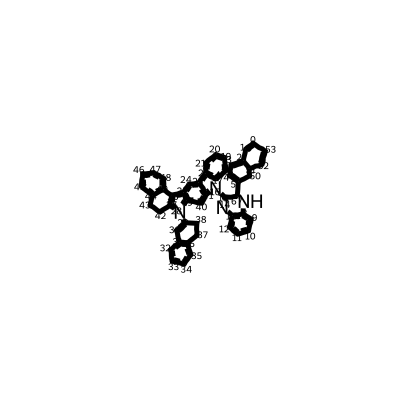 C1=CC2=CC=C(C3Nc4ccccc4N=C3n3c4ccccc4c4cc5c6c(n(C7=Cc8ccccc8CC7)c5cc43)CCc3ccccc3-6)CC2C=C1